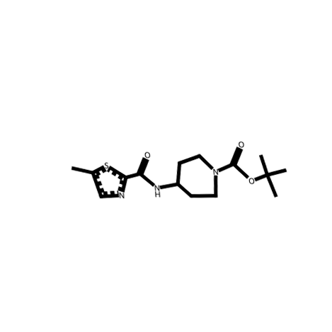 Cc1cnc(C(=O)NC2CCN(C(=O)OC(C)(C)C)CC2)s1